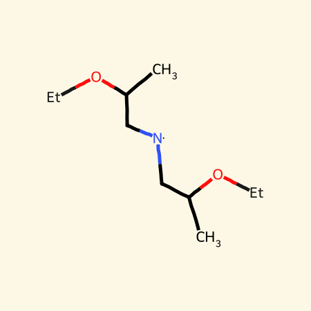 CCOC(C)C[N]CC(C)OCC